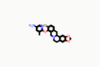 COc1ccc2c(c1Oc1ncc(N)cc1C)CN1CCc3cc4c(cc3C1C2)OCO4